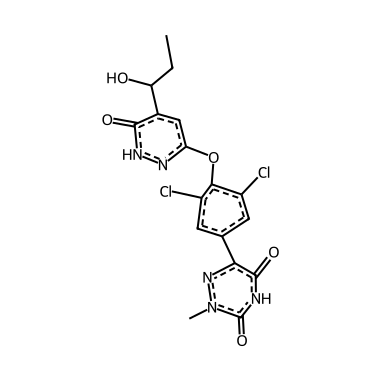 CCC(O)c1cc(Oc2c(Cl)cc(-c3nn(C)c(=O)[nH]c3=O)cc2Cl)n[nH]c1=O